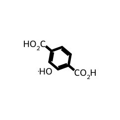 O=C(O)c1ccc(C(=O)O)cc1.[OH]